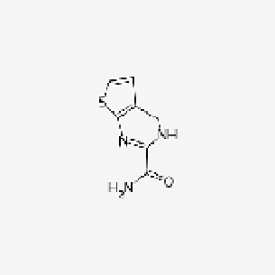 NC(=O)C1=Nc2sccc2CN1